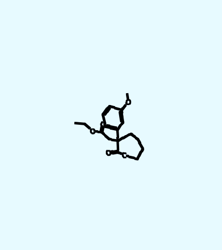 CCOC(=O)CC1(c2cccc(OC)c2)CCCCCC1=O